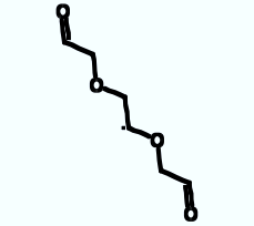 O=CCO[CH]COCC=O